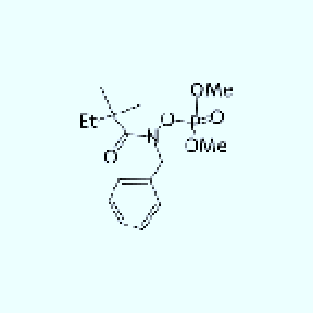 CCC(C)(C)C(=O)N(Cc1ccccc1)OP(=O)(OC)OC